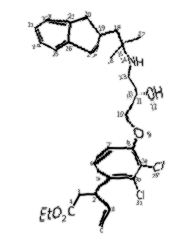 C=CC(CC(=O)OCC)c1ccc(OC[C@@H](O)CNC(C)(C)CC2Cc3ccccc3C2)c(Cl)c1Cl